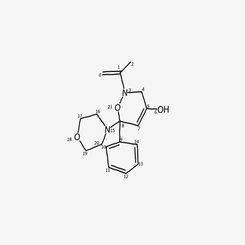 C=C(C)N1CC(O)=CC(c2ccccc2)(N2CCOCC2)O1